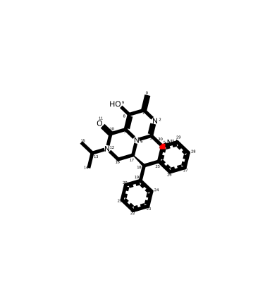 C=C1N=C(CN)N2C(=C1O)C(=O)N(C(C)C)C[C@@H]2C(c1ccccc1)c1ccccc1